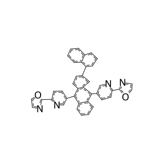 c1ccc2c(-c3ccc4c(-c5ccc(-c6ncco6)nc5)c5ccccc5c(-c5ccc(-c6ncco6)nc5)c4c3)cccc2c1